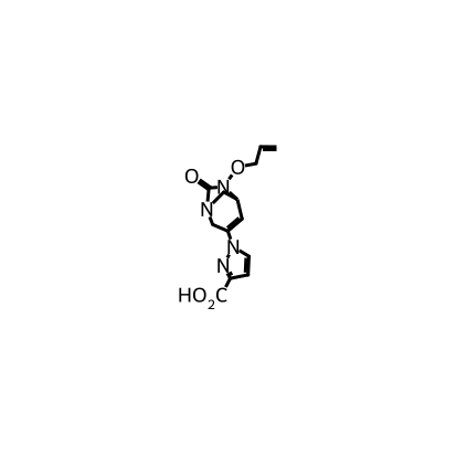 C=CCON1C(=O)N2CC(n3ccc(C(=O)O)n3)=CC1C2